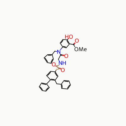 COC(=O)c1cc(N(Cc2ccccc2)C(=O)CNS(=O)(=O)c2ccc(-c3ccccc3)c(Cc3ccccc3)c2)ccc1O